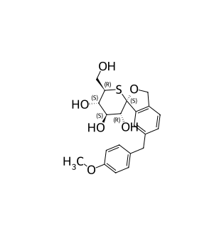 COc1ccc(Cc2ccc3c(c2)[C@]2(OC3)S[C@H](CO)[C@@H](O)[C@H](O)[C@H]2O)cc1